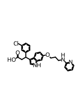 O=C(O)CC(c1cccc(Cl)c1)c1c[nH]c2cc(OCCCNc3ccccn3)ccc12